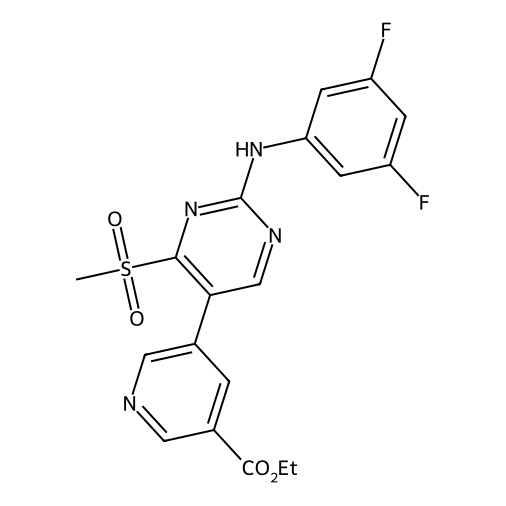 CCOC(=O)c1cncc(-c2cnc(Nc3cc(F)cc(F)c3)nc2S(C)(=O)=O)c1